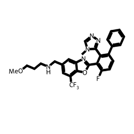 COCCCNCc1cc(C(F)(F)F)c2oc(-c3c(F)ccc(-c4ccccc4)c3-c3nncn3C)nc2c1